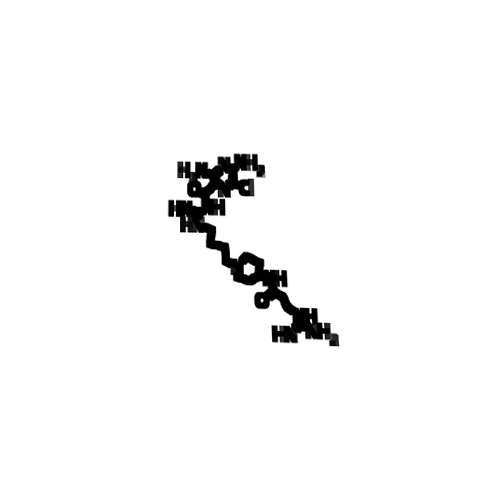 N=C(N)NCCC(=O)NC1CCN(CCCCNC(=N)NC(=O)c2nc(Cl)c(N)nc2N)CC1